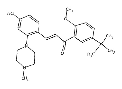 COc1ccc(C(C)(C)C)cc1C(=O)/C=C/c1ccc(O)cc1N1CCN(C)CC1